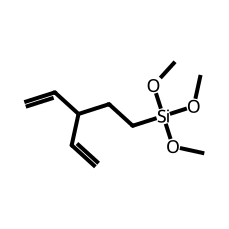 C=CC(C=C)CC[Si](OC)(OC)OC